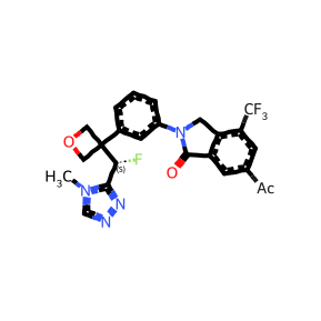 CC(=O)c1cc2c(c(C(F)(F)F)c1)CN(c1cccc(C3([C@H](F)c4nncn4C)COC3)c1)C2=O